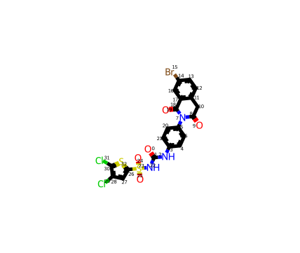 O=C(Nc1ccc(N2C(=O)Cc3ccc(Br)cc3C2=O)cc1)NS(=O)(=O)c1cc(Cl)c(Cl)s1